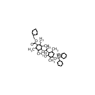 Cc1cc(O[Si](c2ccccc2)(c2ccccc2)C(C)(C)C)c(C)c(O)c1C(=O)Oc1c(C)c(C)c(C(=O)OCc2ccccc2)c(C)c1C